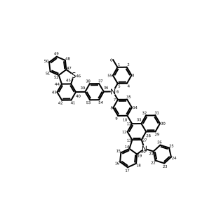 Cc1cccc(N(c2ccc(-c3cc4c5ccccc5n(-c5ccccc5)c4c4ccccc34)cc2)c2ccc(-c3cccc4c3sc3ccccc34)cc2)c1